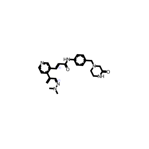 C=C(/C=N\N(C)C)c1ccncc1/C=C/C(=O)Nc1ccc(CN2CCNC(=O)C2)cc1